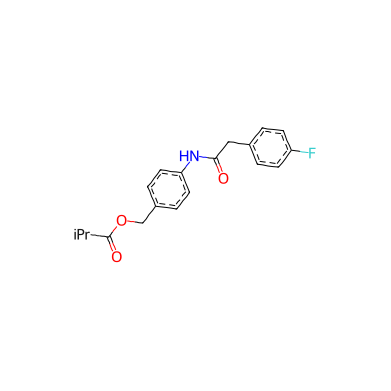 CC(C)C(=O)OCc1ccc(NC(=O)Cc2ccc(F)cc2)cc1